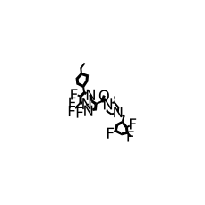 CCc1ccc(-c2nc3c(C(=O)N4CCN(Cc5cc(F)cc(F)c5F)C[C@H]4C)cnn3c(C(F)(F)F)c2F)cc1